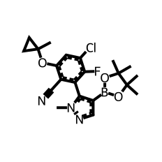 Cn1ncc(B2OC(C)(C)C(C)(C)O2)c1-c1c(F)c(Cl)cc(OC2(C)CC2)c1C#N